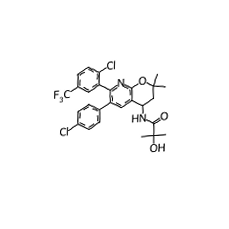 CC1(C)CC(NC(=O)C(C)(C)O)c2cc(-c3ccc(Cl)cc3)c(-c3cc(C(F)(F)F)ccc3Cl)nc2O1